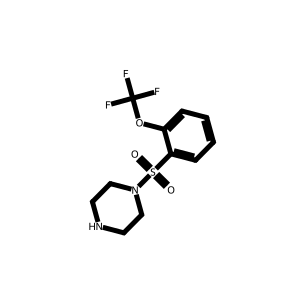 O=S(=O)(c1ccccc1OC(F)(F)F)N1CCNCC1